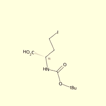 CC(C)(C)OC(=O)N[C@@H](CCI)C(=O)O